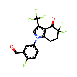 O=Cc1cc(-n2cc(C(F)(F)F)c3c2CCC(F)(F)C3=O)ccc1F